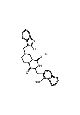 CCc1oc2ccccc2c1CN1CCN2C(=O)C(Cc3ccc4ccccc4c3C=O)NC(=O)C2C1.Cl